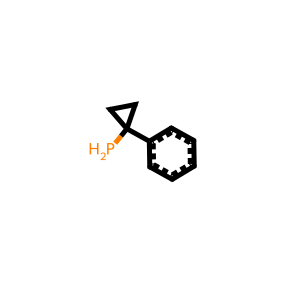 PC1(c2ccccc2)CC1